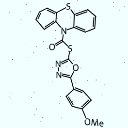 COc1ccc(-c2nnc(SC(=O)N3c4ccccc4Sc4ccccc43)o2)cc1